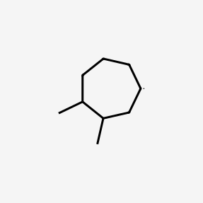 CC1C[CH]CCCC1C